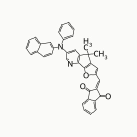 CC1(C)c2cc(N(c3ccccc3)c3ccc4ccccc4c3)cnc2-c2oc(C=C3C(=O)c4ccccc4C3=O)cc21